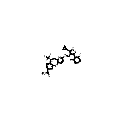 O=C(O)c1ccc2c(c1)Oc1ccc(OCc3c(-c4c(Cl)cccc4Cl)noc3C3CC3)nc1C[C@@H]2C(F)(F)F